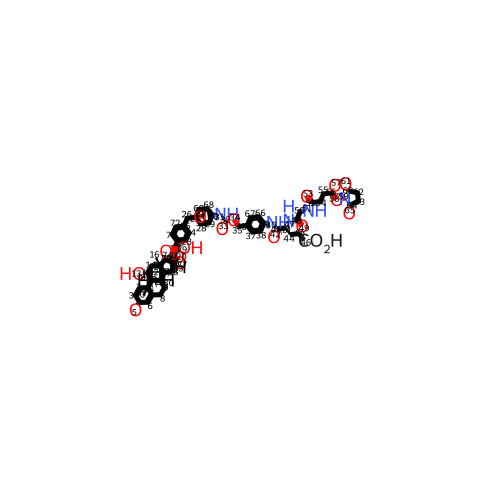 C[C@]12C=CC(=O)C=C1CC[C@@H]1[C@@H]2[C@@H](O)C[C@@]2(C)[C@H]1C[C@H]1OC(c3ccc(CC45CCC(NC(=O)OCc6ccc(NC(=O)[C@H](CCC(=O)O)NC(=O)CNC(=O)CCC(=O)ON7C(=O)CCC7=O)cc6)(CC4)CO5)cc3)O[C@]12C(=O)CO